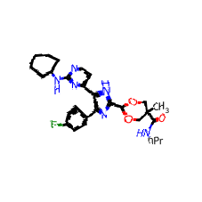 CCCNC(=O)C1(C)COC(c2nc(-c3ccc(F)cc3)c(-c3ccnc(NC4CCCCC4)n3)[nH]2)OC1